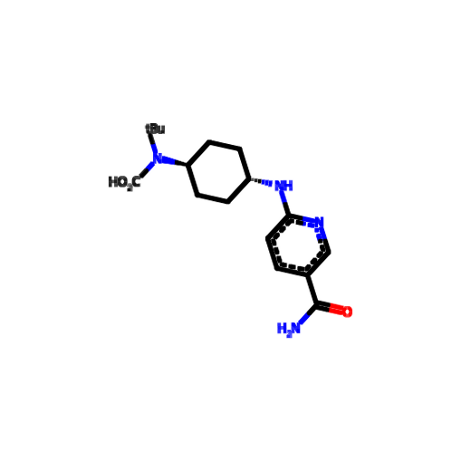 CC(C)(C)N(C(=O)O)[C@H]1CC[C@H](Nc2ccc(C(N)=O)cn2)CC1